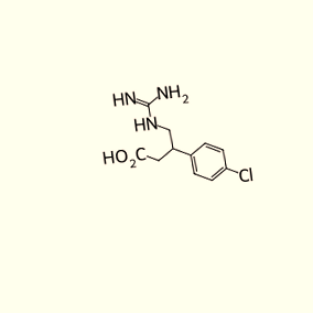 N=C(N)NCC(CC(=O)O)c1ccc(Cl)cc1